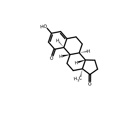 C[C@]12CC[C@@H]3[C@H]4C(=O)C=C(O)C=C4CC[C@H]3[C@@H]1CCC2=O